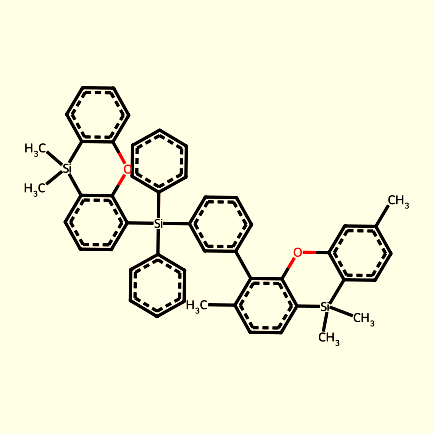 Cc1ccc2c(c1)Oc1c(ccc(C)c1-c1cccc([Si](c3ccccc3)(c3ccccc3)c3cccc4c3Oc3ccccc3[Si]4(C)C)c1)[Si]2(C)C